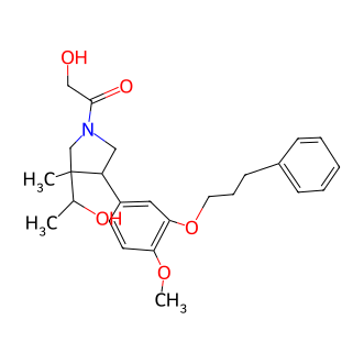 COc1ccc(C2CN(C(=O)CO)CC2(C)C(C)O)cc1OCCCc1ccccc1